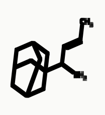 BC(C=CC)C12CC3CC(CC(C3)C1)C2